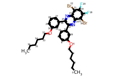 CCCCCCOc1cccc(-c2nc3c(Br)c(F)c(F)c(Br)c3nc2-c2cccc(OCCCCCC)c2)c1